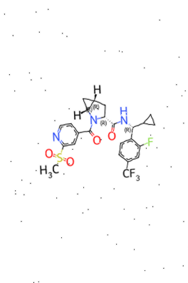 CS(=O)(=O)c1cc(C(=O)N2[C@@H](C(=O)N[C@@H](c3ccc(C(F)(F)F)cc3F)C3CC3)C[C@H]3C[C@H]32)ccn1